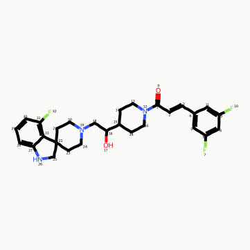 O=C(/C=C/c1cc(F)cc(F)c1)N1CCC(C(O)CN2CCC3(CC2)CNc2cccc(F)c23)CC1